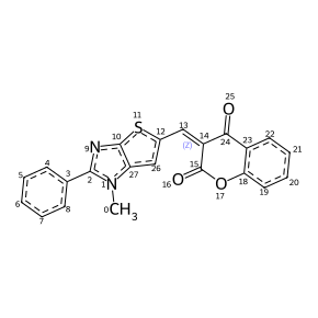 Cn1c(-c2ccccc2)nc2sc(/C=C3\C(=O)Oc4ccccc4C3=O)cc21